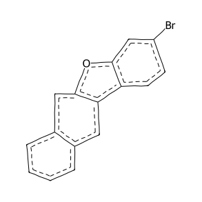 Brc1ccc2c(c1)oc1cc3ccccc3cc12